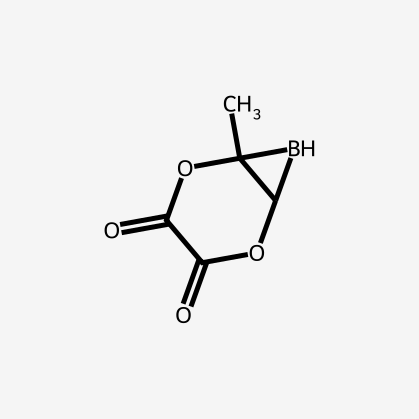 CC12BC1OC(=O)C(=O)O2